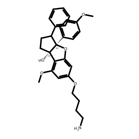 COc1ccc([C@]23Oc4cc(OCCCCN)cc(OC)c4[C@@]2(O)CCC3c2ccccc2)cc1